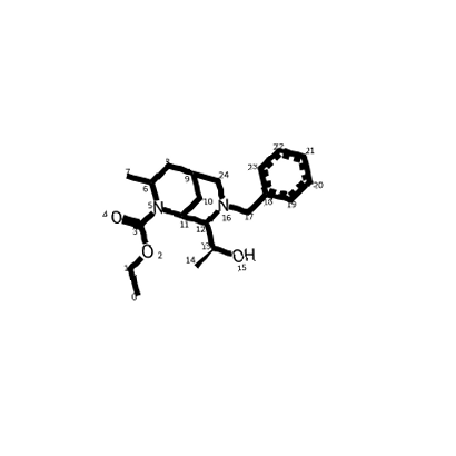 CCOC(=O)N1C(C)CC2CC1C([C@H](C)O)N(Cc1ccccc1)C2